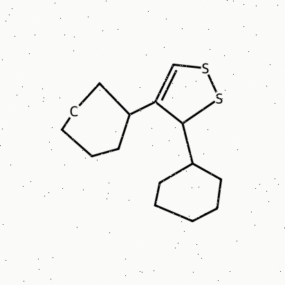 C1=C(C2CCCCC2)C(C2CCCCC2)SS1